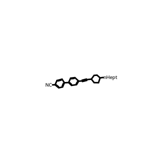 CCCCCCCC1CCC(C#Cc2ccc(-c3ccc(C#N)cc3)cc2)CC1